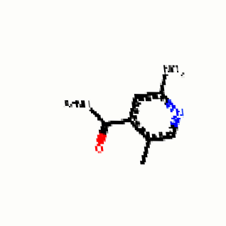 CC(=O)NC(=O)c1cc([N+](=O)[O-])ncc1C